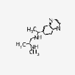 CNC(C)CNC(C)c1ccc2nccnc2c1